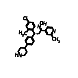 Cc1cc(/C(C[C@H](c2ccc(C3CCNCC3)cc2)c2ccc(Cl)cc2C)=N\O)ccn1